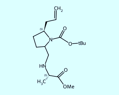 C=CC[C@@H]1CCC(CN[C@@H](C)C(=O)OC)N1C(=O)OC(C)(C)C